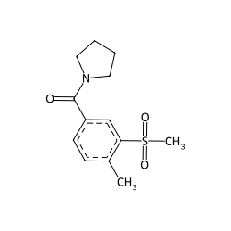 Cc1ccc(C(=O)N2CCCC2)cc1S(C)(=O)=O